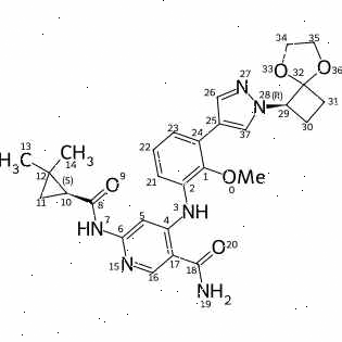 COc1c(Nc2cc(NC(=O)[C@H]3CC3(C)C)ncc2C(N)=O)cccc1-c1cnn([C@@H]2CCC23OCCO3)c1